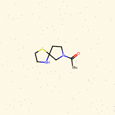 CC(C)(C)C(=O)N1CCC2(C1)NCCS2